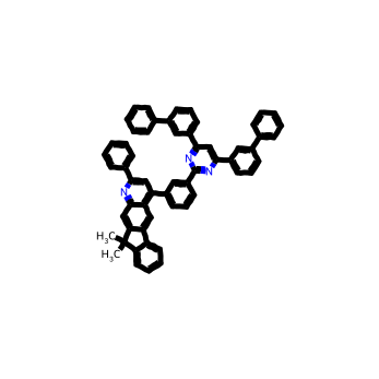 CC1(C)c2ccccc2-c2cc3c(-c4cccc(-c5nc(-c6cccc(-c7ccccc7)c6)cc(-c6cccc(-c7ccccc7)c6)n5)c4)cc(-c4ccccc4)nc3cc21